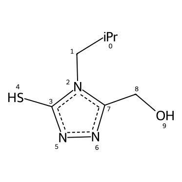 CC(C)Cn1c(S)nnc1CO